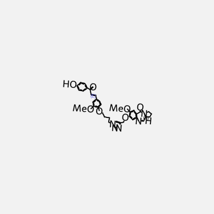 COc1cc(/C=C/C(=O)c2ccc(O)cc2)ccc1OCCCCn1cc(COc2cc3c(cc2OC)C(=O)N2CCC[C@H]2C=N3)nn1